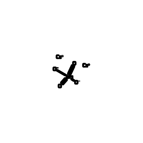 [Cs+].[Cs+].[O]=[Mn](=[O])([O-])[O-]